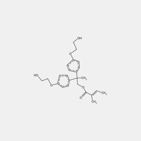 CC=C(C)C(=O)OCC(C)(c1ccc(OCCO)cc1)c1ccc(OCCO)cc1